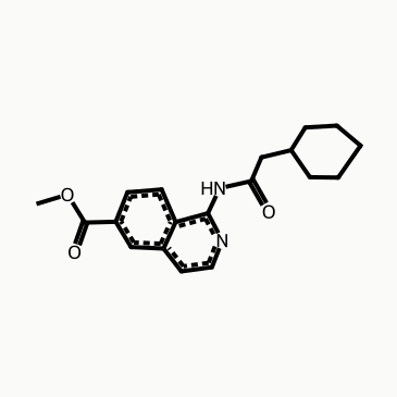 COC(=O)c1ccc2c(NC(=O)CC3CCCCC3)nccc2c1